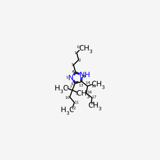 CCCCc1nc(C(C)(C)CCC)c(C(C)CCC)[nH]1